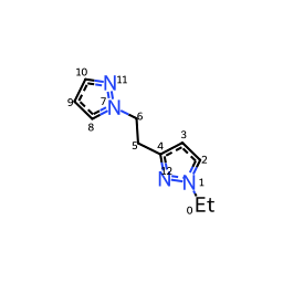 CCn1ccc(CCn2cccn2)n1